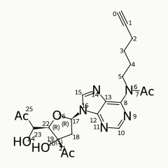 C#CCCCCN(C(C)=O)c1ncnc2c1ncn2[C@H]1C[C@@](O)(C(C)=O)[C@@H](C(O)C(C)=O)O1